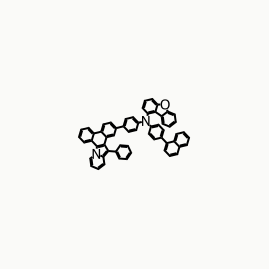 c1ccc(-c2c3c4cc(-c5ccc(N(c6ccc(-c7cccc8ccccc78)cc6)c6cccc7oc8ccccc8c67)cc5)ccc4c4ccccc4c3n3ccccc23)cc1